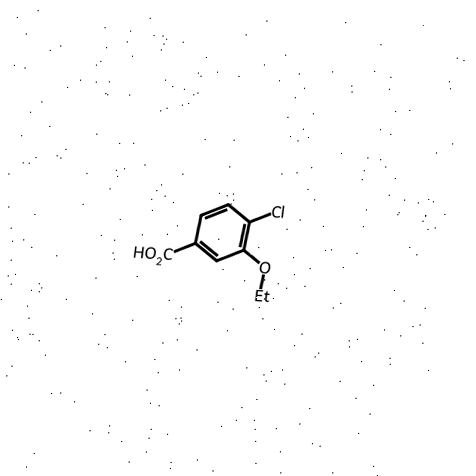 CCOc1cc(C(=O)O)ccc1Cl